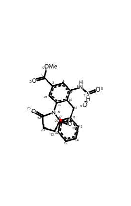 COC(=O)c1cc(N[SH](=O)=O)c(Cc2ccccc2)c(N2C(=O)CCC2=O)c1